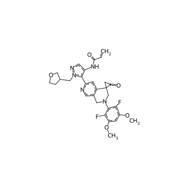 C=CC(=O)Nc1cnn(CC2CCOC2)c1-c1cc2c(cn1)CN(c1c(F)c(OC)cc(OC)c1F)CC21CC1=O